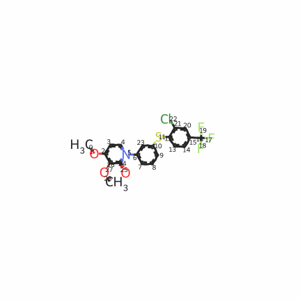 COc1ccn(-c2cccc(Sc3ccc(C(F)(F)F)cc3Cl)c2)c(=O)c1OC